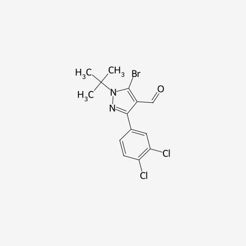 CC(C)(C)n1nc(-c2ccc(Cl)c(Cl)c2)c(C=O)c1Br